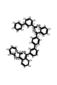 C1=Cc2c(c(-c3cccc(-c4ccc(-c5nc(-c6cccc(-c7ccccc7)c6)nc6ccccc56)cc4)c3)nc3c2nc2ccccn23)CC1